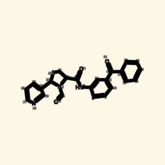 O=CN1C(C(=O)Nc2cccc(C(=O)c3ccccc3)c2)CSC1c1cccnc1